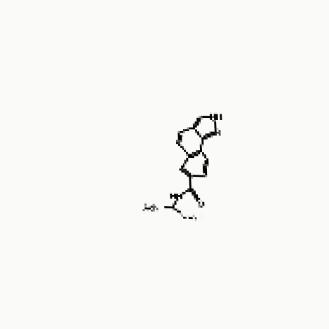 CC(=O)NC(NC(=O)c1ccc2c(ccc3c[nH]nc32)c1)C(=O)O